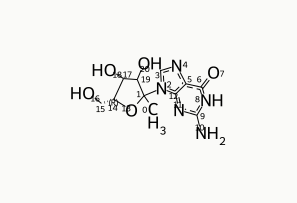 CC1(n2cnc3c(=O)[nH]c(N)nc32)O[C@H](CO)C(O)C1O